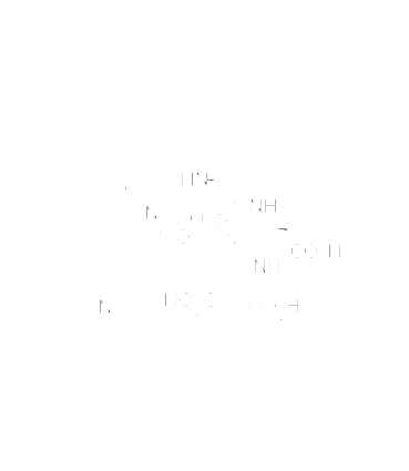 O=C(O)C[C@H](NC(=O)[C@H](CC(=O)O)NC(=O)[C@@H](NC(=O)CN1C(=O)c2cccc3c(N4CCCCC4)ccc(c23)C1=O)c1ccccc1)C(=O)O